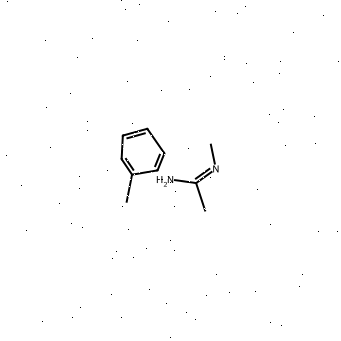 CN=C(C)N.Cc1ccccc1